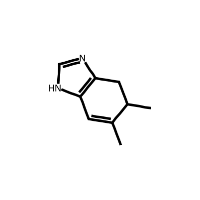 CC1=Cc2[nH]cnc2CC1C